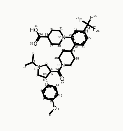 COc1ccc([C@@H]2CN(C(C)C)C[C@H]2C(=O)N2CCC(c3ccc(C(F)(F)F)cc3N3CCC(C(=O)O)CC3)CC2)cc1